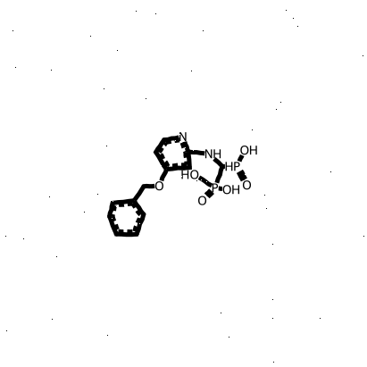 O=[PH](O)C(Nc1cc(OCc2ccccc2)ccn1)P(=O)(O)O